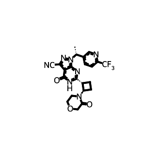 C[C@H](c1ccc(C(F)(F)F)nc1)n1nc(C#N)c2c(=O)[nH]c([C@@H]3CC[C@H]3N3CCOCC3=O)nc21